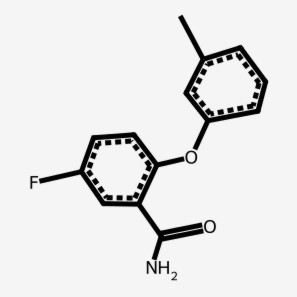 Cc1cccc(Oc2ccc(F)cc2C(N)=O)c1